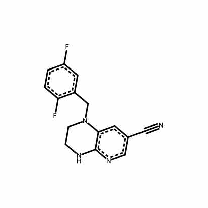 N#Cc1cnc2c(c1)N(Cc1cc(F)ccc1F)CCN2